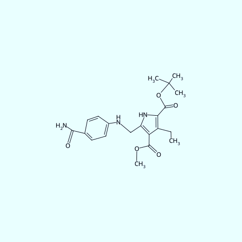 CCc1c(C(=O)OC(C)(C)C)[nH]c(CNc2ccc(C(N)=O)cc2)c1C(=O)OC